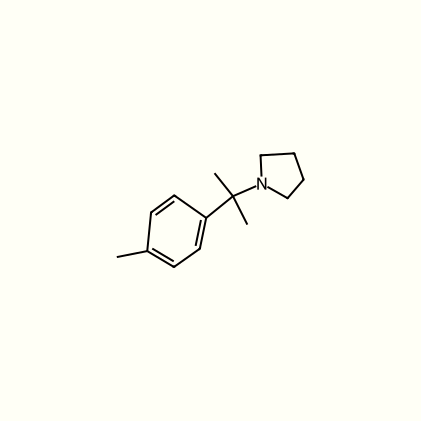 Cc1ccc(C(C)(C)N2CCCC2)cc1